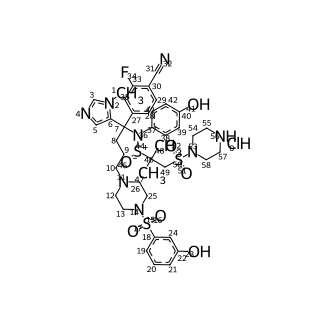 Cl.Cn1cncc1C(CCCN1CCN(S(=O)(=O)c2cccc(O)c2)CC1)(c1ccc(C#N)c(F)c1)N(c1ccc(O)cc1)[S+]([O-])C(C)(C)CS(=O)(=O)N1CCNCC1